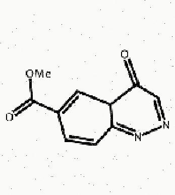 COC(=O)C1=CC2C(=O)C=NN=C2C=C1